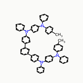 Cc1ccc(N(c2ccccc2)c2ccc(N(c3ccccc3)c3ccc(-c4cccc(-c5ccc(N(c6ccccc6)c6ccc(N(c7ccccc7)c7ccc(C)cc7)cc6)cc5)c4)cc3)cc2)cc1